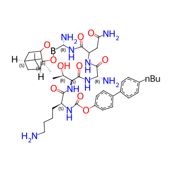 CCCCc1ccc(-c2ccc(OC(=O)N[C@@H](CCCCN)C(=O)N[C@H](C(=O)N[C@@H](N)C(=O)NC(CC(N)=O)C(=O)N[C@@H](N)B3OC4C[C@@H]5C[C@@H](C5(C)C)[C@]4(C)O3)[C@@H](C)O)cc2)cc1